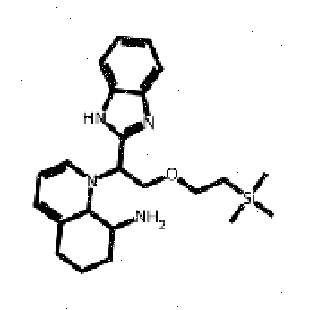 C[Si](C)(C)CCOCC(c1nc2ccccc2[nH]1)N1C=CC=C2CCCC(N)C21